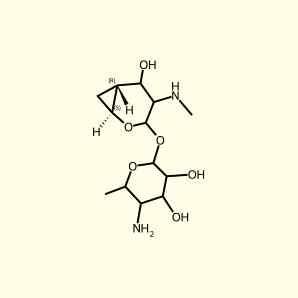 CNC1C(OC2OC(C)C(N)C(O)C2O)O[C@H]2C[C@@H]2C1O